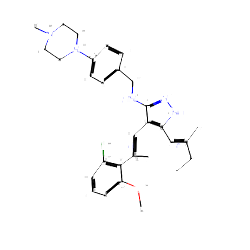 CC/C(C)=C/c1[nH]nc(NCc2ccc(N3CCN(C)CC3)cc2)c1/C=C(\C)c1c(F)cccc1OC